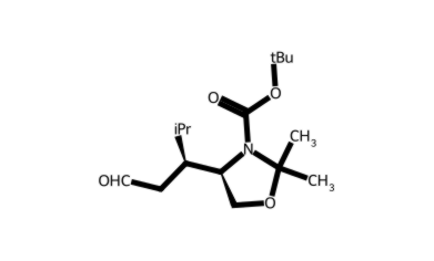 CC(C)[C@H](CC=O)[C@@H]1COC(C)(C)N1C(=O)OC(C)(C)C